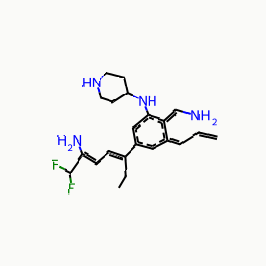 C=C/C=c1/cc(/C(=C/C=C(\N)C(F)F)CC)cc(NC2CCNCC2)/c1=C/N